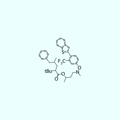 CC(Cc1ccccc1)CC(C(=O)OC(C)CCN(C)Oc1ccc(-c2cc3ccccc3s2)c(C(F)(F)F)c1)C(C)(C)C